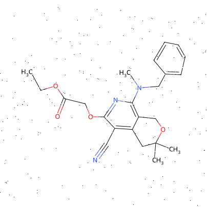 CCOC(=O)COc1nc(N(C)Cc2ccccc2)c2c(c1C#N)CC(C)(C)OC2